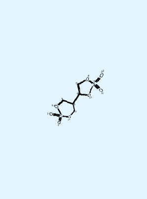 O=S1(=O)OCC(C2COS(=O)(=O)O2)CO1